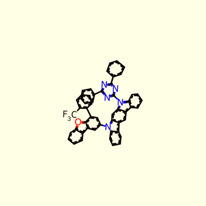 FC(F)(F)c1ccccc1-c1cc(-n2c3ccccc3c3cc4c5ccccc5n(-c5nc(-c6ccccc6)nc(-c6ccccc6)n5)c4cc32)cc2c1oc1ccccc12